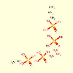 O.O.O.O=P(O)(O)O.O=P(O)(O)O.O=P(O)(O)O.O=P(O)(O)O.[AlH3].[AlH3].[AlH3].[AlH3].[CaH2]